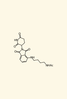 CC(=O)NCCCCNc1cccc2c1C(=O)N(C1CCC(=O)NC1=O)C2=O